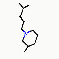 CC(C)CCCN1CCCC(C)C1